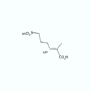 CC(=CCCCS(=O)(=O)O)C(=O)O.[LiH]